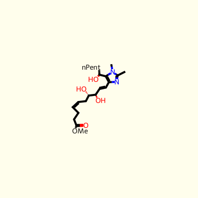 CCCCCC(O)c1c(/C=C/[C@@H](O)[C@@H](O)C/C=C\CCC(=O)OC)nc(C)n1C